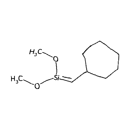 CO[Si](=CC1CCCCC1)OC